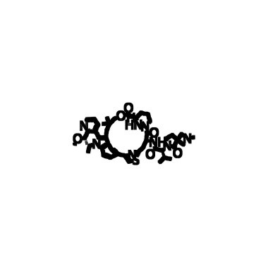 CCn1c(-c2cccnc2[C@H](C)OC)c2c3cc(ccc31)-c1csc(n1)C[C@H](NC(=O)[C@H](C(C)C)N1CCC3(CN(C)C3)C1=O)C(=O)N1CCC[C@H](N1)C(=O)OCC(C)(C)C2